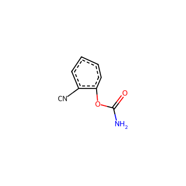 [C-]#[N+]c1ccccc1OC(N)=O